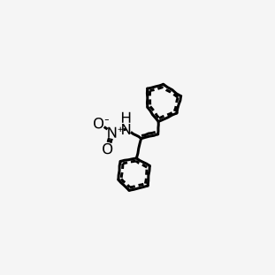 O=[N+]([O-])NC(=Cc1ccccc1)c1ccccc1